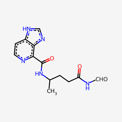 CC(CCC(=O)NC=O)NC(=O)c1nccc2[nH]cnc12